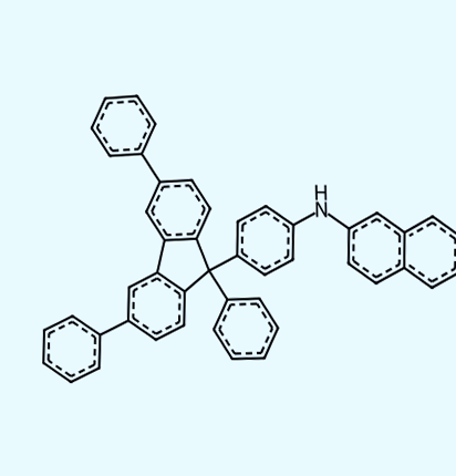 c1ccc(-c2ccc3c(c2)-c2cc(-c4ccccc4)ccc2C3(c2ccccc2)c2ccc(Nc3ccc4ccccc4c3)cc2)cc1